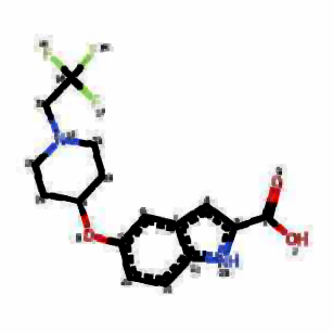 O=C(O)c1cc2cc(OC3CCN(CC(F)(F)F)CC3)ccc2[nH]1